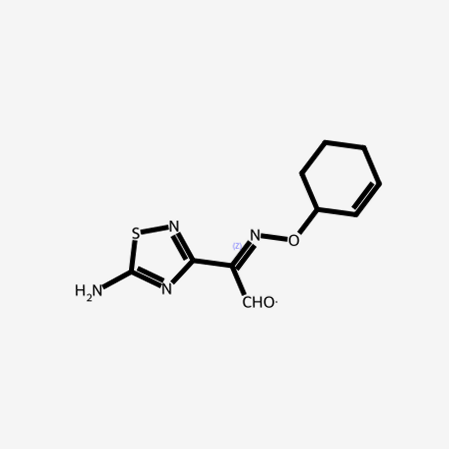 Nc1nc(/C([C]=O)=N/OC2C=CCCC2)ns1